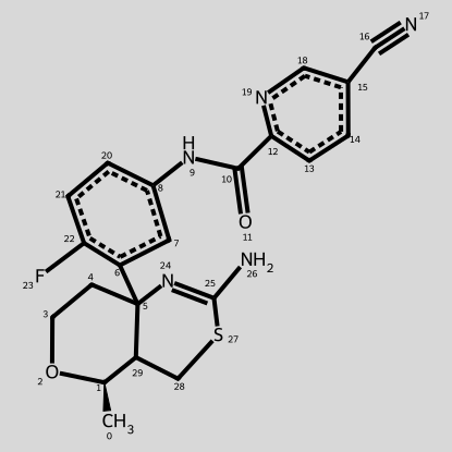 C[C@H]1OCCC2(c3cc(NC(=O)c4ccc(C#N)cn4)ccc3F)N=C(N)SCC12